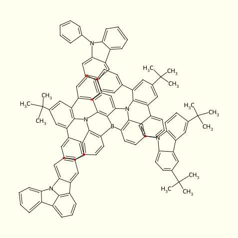 CC(C)(C)c1cc(-c2ccccc2)c(N2c3cc(-c4ccc5c(c4)c4cccc6c7ccccc7n5c64)ccc3B3c4ccc(-n5c6ccc(C(C)(C)C)cc6c6cc(C(C)(C)C)ccc65)cc4N(c4c(-c5ccccc5)cc(C(C)(C)C)cc4-c4ccccc4)c4cc(-c5ccc6c(c5)c5ccccc5n6-c5ccccc5)cc2c43)c(-c2ccccc2)c1